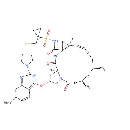 COc1ccc2c(O[C@@H]3C[C@H]4C(=O)N[C@]5(C(=O)NS(=O)(=O)C6(CF)CC6)C[C@H]5/C=C\CC[C@@H](C)C[C@@H](C)CC(=O)N4C3)nc(N3CCCC3)nc2c1